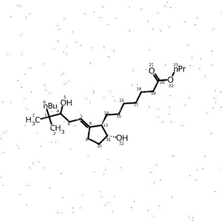 CCCCC(C)(C)C(O)CC=C1CC[C@@H](O)[C@@H]1CCCCCCC(=O)OCCC